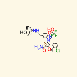 CC(C)[C@H](NCCCc1ccc2ncn(-c3cc(O[C@H](C)c4ccccc4Cl)c(C(N)=O)s3)c2c1)C(=O)O.O=C(O)C(F)(F)F